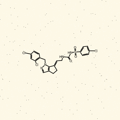 O=C(NCC=C1CCc2cnn(Cc3ccc(Cl)cc3Cl)c21)NS(=O)(=O)c1ccc(Cl)cc1